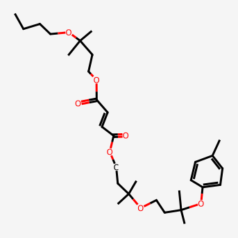 CCCCOC(C)(C)CCOC(=O)/C=C/C(=O)OCCC(C)(C)OCCC(C)(C)Oc1ccc(C)cc1